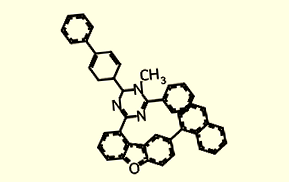 CN1C(c2ccccc2)=NC(c2cccc3oc4ccc(-c5cccc6ccccc56)cc4c23)=NC1C1C=CC(c2ccccc2)=CC1